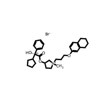 C[N+]1(CCCOc2ccc3c(c2)CCCC3)CCC(OC(=O)[C@](O)(c2ccccc2)C2CCCC2)C1.[Br-]